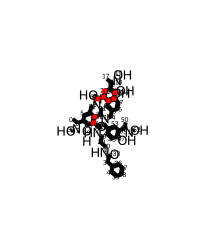 CC(=NO)c1cc(CN(Cc2ccc(O)c(C(C)=NO)c2)CC(CCC(=O)NCCCNC(=O)Cc2ccccc2)N(Cc2ccc(O)c(C(C)=NO)c2)Cc2ccc(O)c(C(C)=NO)c2)ccc1O